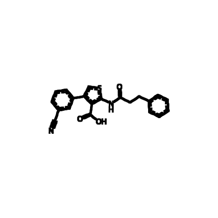 N#Cc1cccc(-c2csc(NC(=O)CCc3ccccc3)c2C(=O)O)c1